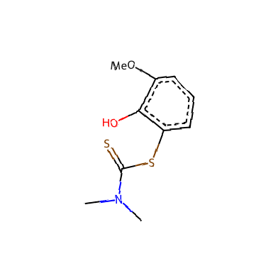 COc1cccc(SC(=S)N(C)C)c1O